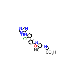 Cc1c(-c2nc3cc(CN4CC[C@@H](C(=O)O)C4)cc(C#N)c3o2)cccc1-c1cccc(Nc2cncc3nccnc23)c1Cl